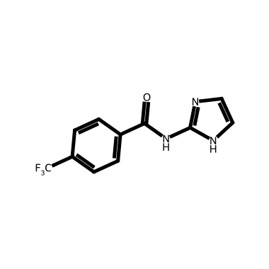 O=C(Nc1ncc[nH]1)c1ccc(C(F)(F)F)cc1